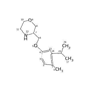 Cc1ccc(OCC2COCCN2)cc1C(C)C